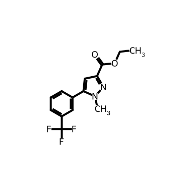 CCOC(=O)c1cc(-c2cccc(C(F)(F)F)c2)n(C)n1